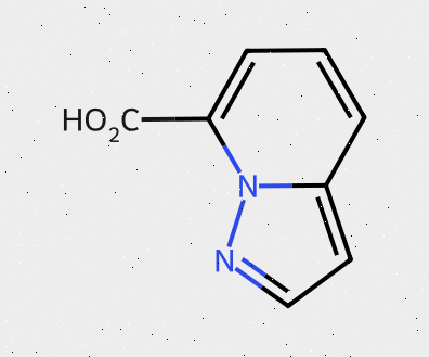 O=C(O)c1cccc2ccnn12